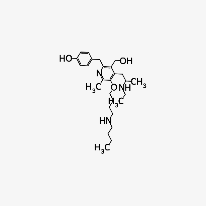 CCCCNCCCCOc1c(C)nc(Cc2ccc(O)cc2)c(CO)c1CC(C)NCC